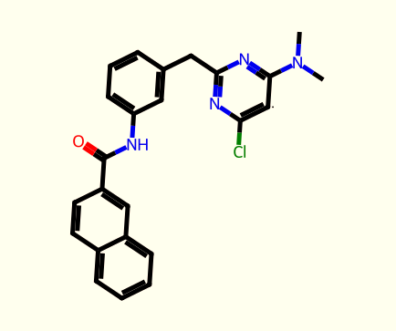 CN(C)c1[c]c(Cl)nc(Cc2cccc(NC(=O)c3ccc4ccccc4c3)c2)n1